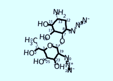 C[C@@H](O)C1O[C@H](O[C@@H]2C(N=[N+]=[N-])C[C@@H](N)C(O)C2O)C(N=[N+]=[N-])C(O)[C@@H]1O